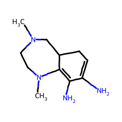 CN1CCN(C)C2=C(N)C(N)=CCC2C1